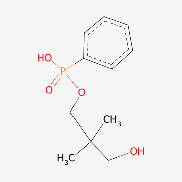 CC(C)(CO)COP(=O)(O)c1ccccc1